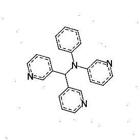 c1ccc(N(c2cccnc2)C(c2cccnc2)c2cccnc2)cc1